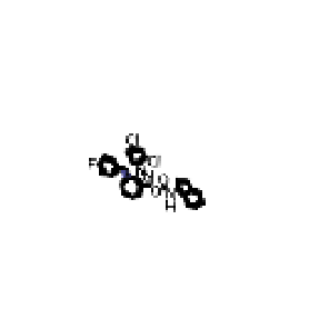 O=C(N[C@@H]1CCc2ccccc21)Oc1nn(-c2ccc(Cl)cc2Cl)c2c1CCCC/C2=C\c1ccc(F)cc1